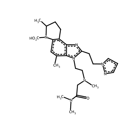 Cc1cc2c(c3nc(CCn4cccn4)n(CCN(C)CC(=O)N(C)C)c13)CCC(C)N2C(=O)O